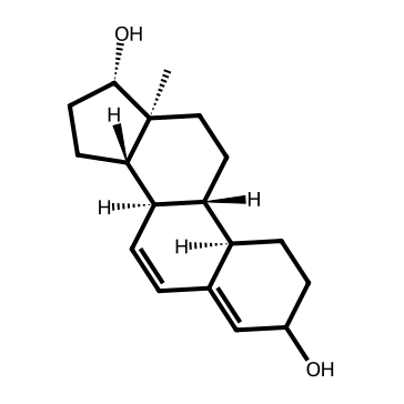 C[C@]12CC[C@H]3[C@@H](C=CC4=CC(O)CC[C@@H]43)[C@@H]1CC[C@@H]2O